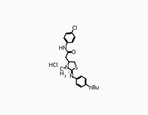 CCCCc1ccc(/N=C2\SCC(CC(=O)Nc3ccc(Cl)cc3)N2C)cc1.Cl